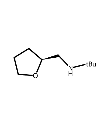 CC(C)(C)NC[C@@H]1CCCO1